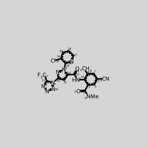 CNC(=O)c1cc(C#N)cc(C)c1NC(=O)c1cc(-n2nnnc2C(F)(F)F)nn1-c1ncccc1Cl